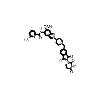 COc1cc2nn(C3CCN(Cc4ccc5c(c4)C(=O)N(N4CCC(=O)NC4=O)C5=O)CC3)cc2cc1NC(=O)c1cccc(C(F)(F)F)n1